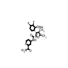 COc1c([C@@H]2[C@@H](C)[C@@H](C(F)(F)F)O[C@@H]2C(=O)Nc2ccnc(C(N)=O)c2)ccc(F)c1F